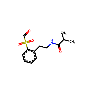 CC(C)C(=O)NCCc1ccccc1S(=O)(=O)[C]=O